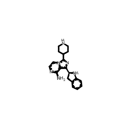 Nc1nccn2c(C3CCNCC3)nc(C3Cc4ccccc4N3)c12